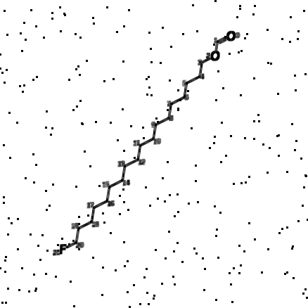 O=COCCCCCCCCCCCCCCCCCCF